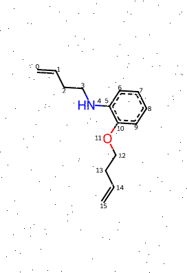 C=CCCNc1ccccc1OCCC=C